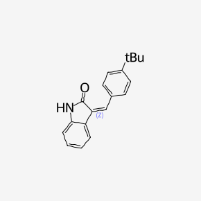 CC(C)(C)c1ccc(/C=C2\C(=O)Nc3ccccc32)cc1